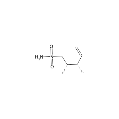 C=C[C@H](C)[C@H](C)CS(N)(=O)=O